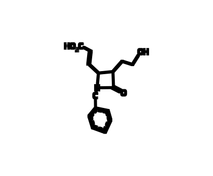 O=C(O)C=CC1C(CCO)C(=O)N1Cc1ccccc1